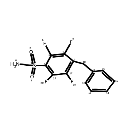 NS(=O)(=O)c1c(F)c(F)c(Cc2ccccc2)c(F)c1F